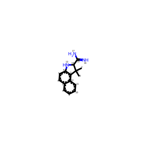 CC1(C)c2c(ccc3ccccc23)NC1C(=N)N